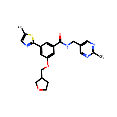 CC(C)c1cnc(-c2cc(OCC3CCOC3)cc(C(=O)NCc3cnc(C(F)(F)F)nc3)c2)s1